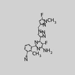 Cc1c(C#N)cccc1-c1nc(N)c(F)c(-c2cn(Cc3cc(F)n(C)n3)nn2)n1